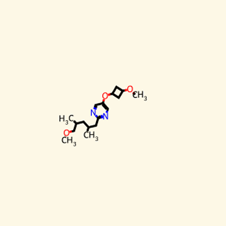 COCC(C)CC(C)Cc1ncc(OC2CC(OC)C2)cn1